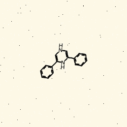 C1=C(c2ccccc2)NC(c2ccccc2)=CN1